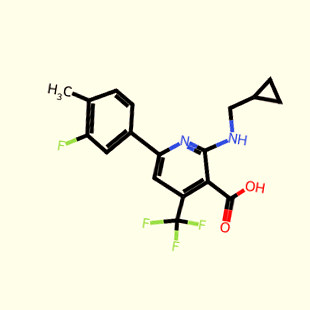 Cc1ccc(-c2cc(C(F)(F)F)c(C(=O)O)c(NCC3CC3)n2)cc1F